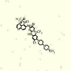 CCc1cc(Nc2ncc(Br)c(Nc3ccc4nccnc4c3N(CC)S(C)(=O)=O)n2)c(OC(F)(F)F)cc1N1CCC(N2CCN(C)CC2)CC1